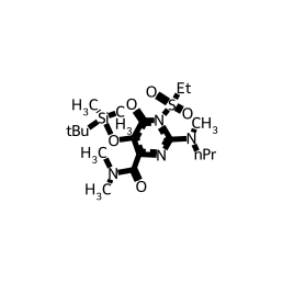 CCCN(C)c1nc(C(=O)N(C)C)c(O[Si](C)(C)C(C)(C)C)c(=O)n1S(=O)(=O)CC